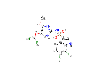 COc1nc(NS(=O)(=O)c2c[nH]c3c(F)c(Cl)ccc23)ncc1OC(F)F